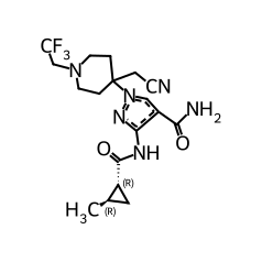 C[C@@H]1C[C@H]1C(=O)Nc1nn(C2(CC#N)CCN(CC(F)(F)F)CC2)cc1C(N)=O